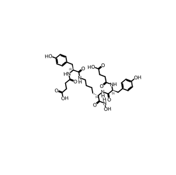 O=C(O)CCC(=O)N[C@@H](Cc1ccc(O)cc1)C(=O)NCCCC[C@H](NC(=O)[C@H](Cc1ccc(O)cc1)NC(=O)CCC(=O)O)C(=O)NO